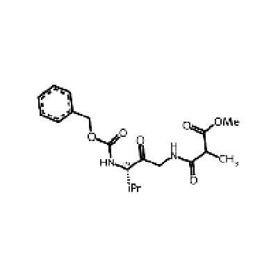 COC(=O)C(C)C(=O)NCC(=O)[C@@H](NC(=O)OCc1ccccc1)C(C)C